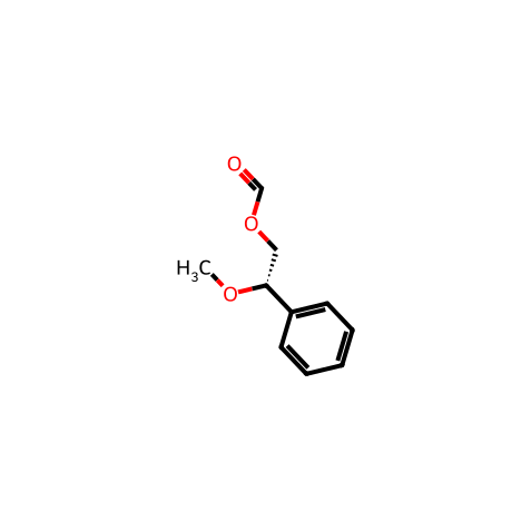 CO[C@H](COC=O)c1ccccc1